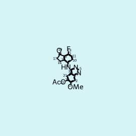 COc1cc2ncnc(Nc3ccc(F)c4c3CCC4=O)c2cc1OC(C)=O